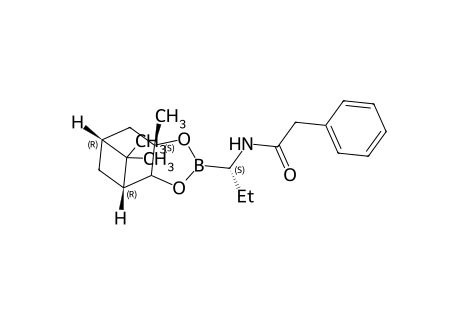 CC[C@@H](NC(=O)Cc1ccccc1)B1OC2[C@@H]3C[C@H](C[C@]2(C)O1)C3(C)C